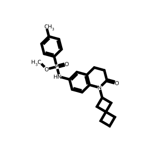 COP(=O)(Nc1ccc2c(c1)CCC(=O)N2C1CC2(CCC2)C1)c1ccc(C)cc1